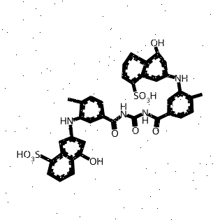 Cc1ccc(C(=O)NC(=O)NC(=O)c2ccc(C)c(Nc3cc(O)c4cccc(S(=O)(=O)O)c4c3)c2)cc1Nc1cc(O)c2cccc(S(=O)(=O)O)c2c1